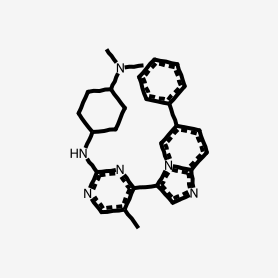 Cc1cnc(NC2CCC(N(C)C)CC2)nc1-c1cnc2ccc(-c3ccccc3)cn12